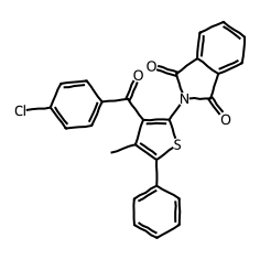 Cc1c(-c2ccccc2)sc(N2C(=O)c3ccccc3C2=O)c1C(=O)c1ccc(Cl)cc1